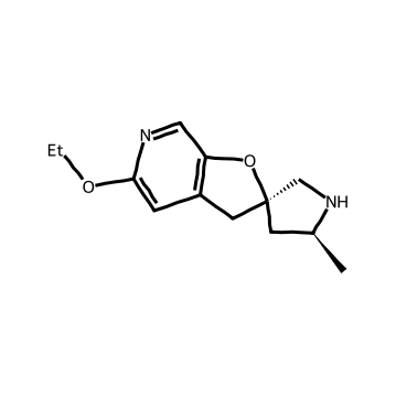 CCOc1cc2c(cn1)O[C@]1(CN[C@@H](C)C1)C2